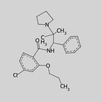 CCCOc1cc(Cl)ccc1C(=O)NC(c1ccccc1)C(C)(C)N1CCCC1